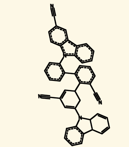 N#CC1=CC(c2c(C#N)cccc2-c2ccccc2-n2c3ccccc3c3cc(C#N)ccc32)CC(N2c3ccccc3C3C=CC=CC32)=C1